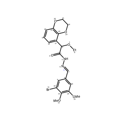 CCOC(C(=O)N/N=C/c1cc(Br)c(OC)c(OC)c1)c1cccc2c1OCCO2